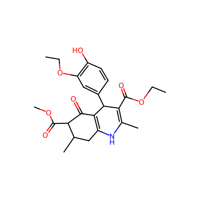 CCOC(=O)C1=C(C)NC2=C(C(=O)C(C(=O)OC)C(C)C2)C1c1ccc(O)c(OCC)c1